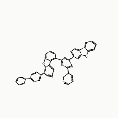 C1=CCC(c2nc(-c3ccc4c(c3)oc3ccccc34)nc(-c3cccc4oc5c(-c6ccc(-c7ccccc7)cc6)cccc5c34)n2)C=C1